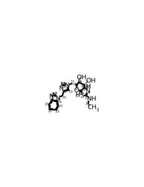 CCNC1=N[C@@H]2[C@@H](O)[C@H](O)[C@@H](Cn3cc(Cn4nnc5ccccc54)nn3)O[C@@H]2S1